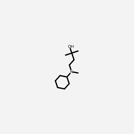 CN(CCC(C)(C)O)C1CCCCC1